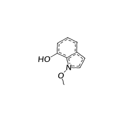 COn1ccc2cccc(O)c21